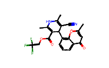 CC1=C(C#N)C(c2cccc3c(=O)cc(C)oc23)C(C(=O)OCC(F)(F)F)=C(C)N1